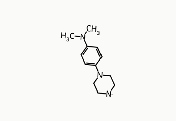 CN(C)c1ccc(N2CC[N]CC2)cc1